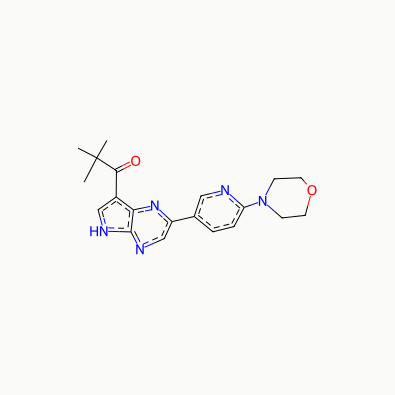 CC(C)(C)C(=O)c1c[nH]c2ncc(-c3ccc(N4CCOCC4)nc3)nc12